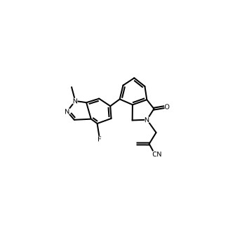 C=C(C#N)CN1Cc2c(cccc2-c2cc(F)c3cnn(C)c3c2)C1=O